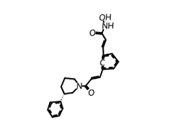 O=C(C=Cc1cccc(C=CC(=O)N2CCC[C@@H](c3ccccc3)C2)c1)NO